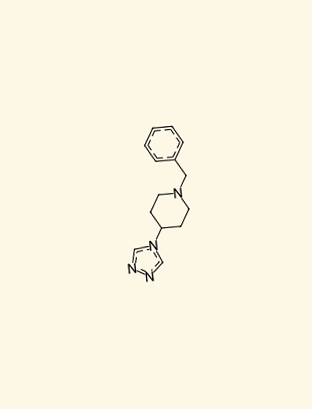 c1ccc(CN2CCC(n3cnnc3)CC2)cc1